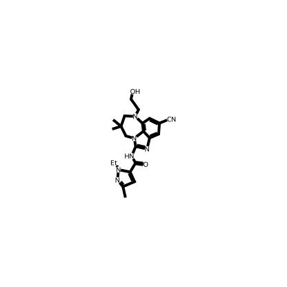 CCn1nc(C)cc1C(=O)Nc1nc2cc(C#N)cc3c2n1CC(C)(C)CN3CCO